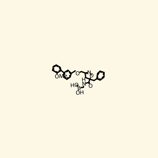 COc1ccccc1-c1cccc(COCC2=NOC(Cc3ccccc3)(C(=O)NCB(O)O)C2)c1